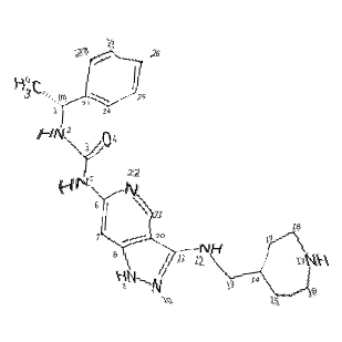 C[C@@H](NC(=O)Nc1cc2[nH]nc(NCC3CCNCC3)c2cn1)c1ccccc1